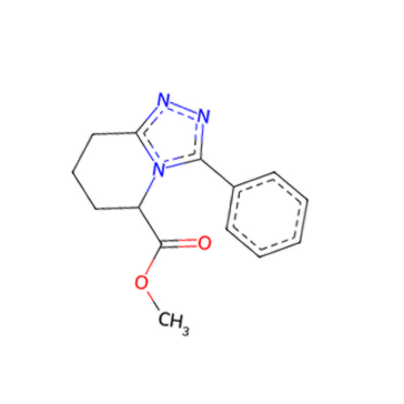 COC(=O)C1CCCc2nnc(-c3ccccc3)n21